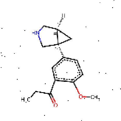 CCC(=O)c1cc([C@]23CNC[C@H]2C3)ccc1OC